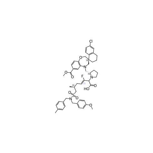 COC(=O)c1ccc2c(c1)N(C[C@@H]1CCCN1C(C(=O)O)/C(F)=C/C[C@H](C)CS(=O)(=O)N(Cc1ccc(C)cc1)Cc1ccc(OC)cc1)C[C@@]1(CCCc3cc(Cl)ccc31)CO2